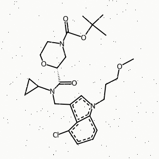 COCCCn1cc(CN(C(=O)[C@H]2CN(C(=O)OC(C)(C)C)CCO2)C2CC2)c2c(Cl)cccc21